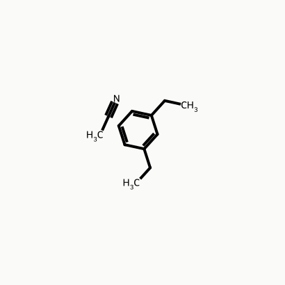 CC#N.CCc1cccc(CC)c1